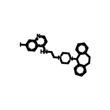 Ic1ccc2c(NCCN3CCN(C4c5ccccc5CCc5ccccc54)CC3)ccnc2c1